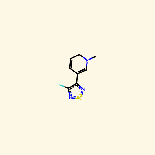 CN1C=C(c2nsnc2F)C=CC1